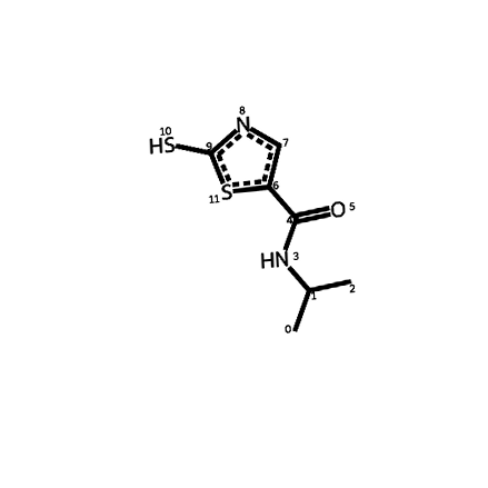 CC(C)NC(=O)c1cnc(S)s1